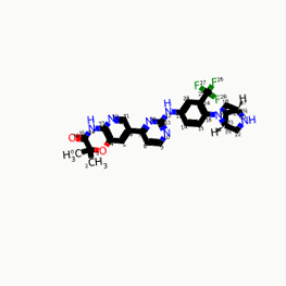 CC1(C)Oc2cc(-c3ccnc(Nc4ccc(N5C[C@@H]6C[C@H]5CN6)c(C(F)(F)F)c4)n3)cnc2NC1=O